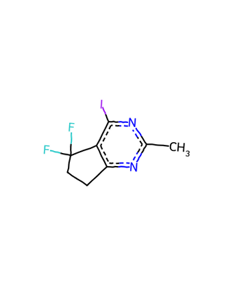 Cc1nc(I)c2c(n1)CCC2(F)F